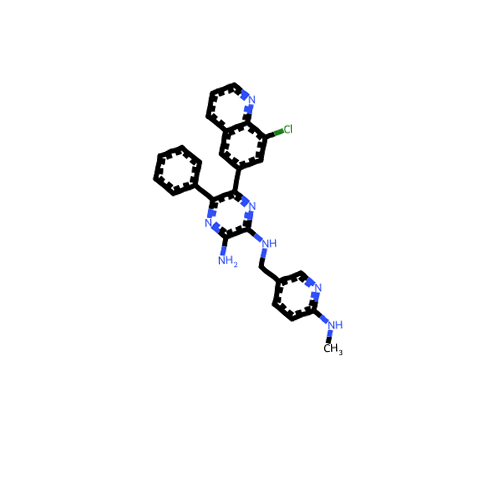 CNc1ccc(CNc2nc(-c3cc(Cl)c4ncccc4c3)c(-c3ccccc3)nc2N)cn1